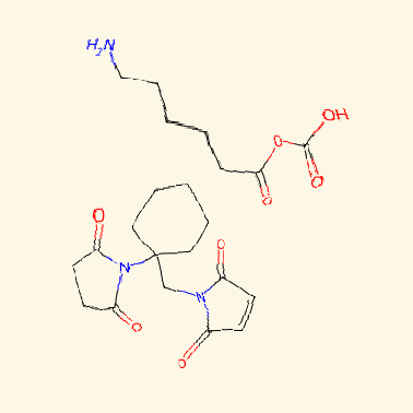 NCCCCCC(=O)OC(=O)O.O=C1C=CC(=O)N1CC1(N2C(=O)CCC2=O)CCCCC1